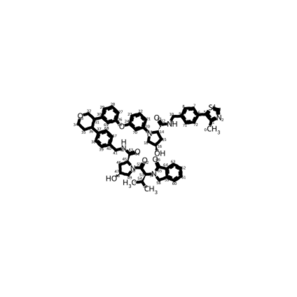 Cc1ncsc1-c1ccc(CNC(=O)[C@@H]2C[C@@H](O)CN2c2cccc(Oc3cccc(C4COCCC4c4ccc(CNC(=O)[C@@H]5C[C@@H](O)CN5C(=O)[C@H](C(C)C)N5Cc6ccccc6C5=O)cc4)c3)c2)cc1